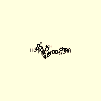 C#Cc1c(F)ccc2cc(O)cc(-c3ccc4c(N5CCC[C@@](C)(O)C5)nc(OCC5(CN6CCN(CC7CCC8(CC7)CCN(C(=O)c7ccc(C)c(N9CCC(=O)NC9=O)c7)CC8)CC6)CC5)nc4c3F)c12